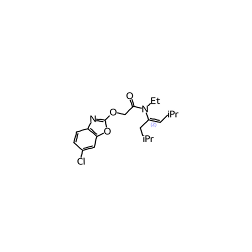 CCN(C(=O)COc1nc2ccc(Cl)cc2o1)/C(=C\C(C)C)CC(C)C